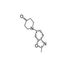 Cc1nc2ccc(N3CCC(=O)CC3)cc2o1